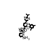 Cc1cc(C)c(Oc2nc(-c3cnc(C(C)C)nc3)ccc2C(=O)NS(=O)(=O)c2cccc(N)n2)c(C)c1